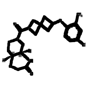 O=C1CO[C@H]2CCN(C(=O)N3CC4(CC(Oc5ccc(Cl)cc5C(F)(F)F)C4)C3)C[C@H]2N1